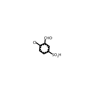 O=[C]c1cc(S(=O)(=O)O)ccc1Cl